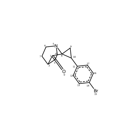 O=C1C2CCN(CC2)C12CC2c1ccc(Br)cc1